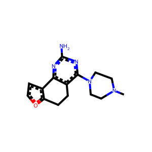 CN1CCN(c2nc(N)nc3c2CCc2occc2-3)CC1